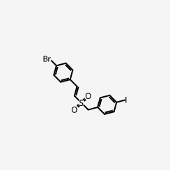 O=S(=O)(/C=C/c1ccc(Br)cc1)Cc1ccc(I)cc1